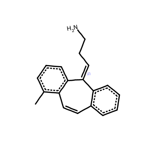 Cc1cccc2c1C=Cc1ccccc1/C2=C/CCN